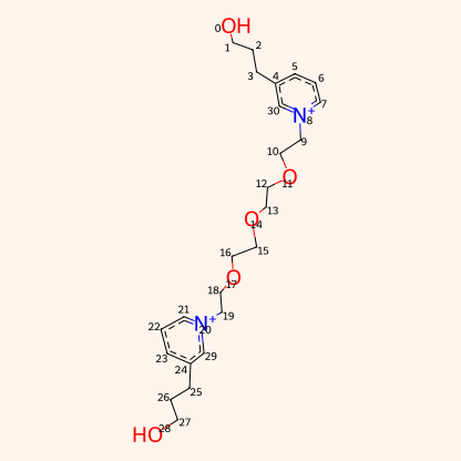 OCCCc1ccc[n+](CCOCCOCCOCC[n+]2cccc(CCCO)c2)c1